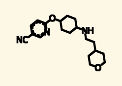 N#Cc1ccc(OC2CCC(NCCC3CCOCC3)CC2)nc1